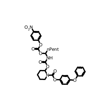 CCCCCC(NC(=O)OC1CCCCN1C(=O)Oc1ccc(Oc2ccccc2)cc1)OC(=O)Oc1ccc([N+](=O)[O-])cc1